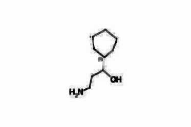 NCCC(O)[C@@H]1C[CH]CCC1